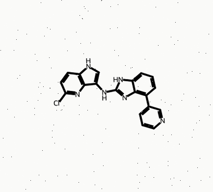 Clc1ccc2[nH]cc(Nc3nc4c(-c5cccnc5)cccc4[nH]3)c2n1